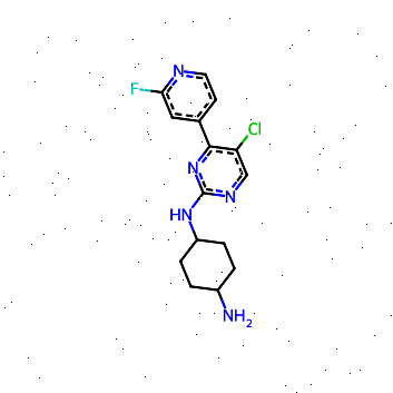 NC1CCC(Nc2ncc(Cl)c(-c3ccnc(F)c3)n2)CC1